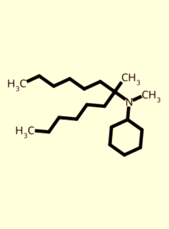 CCCCCCC(C)(CCCCCC)N(C)C1CCCCC1